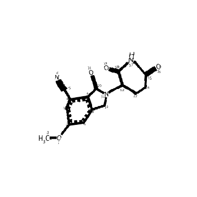 COc1cc(C#N)c2c(c1)CN(C1CCC(=O)NC1=O)C2=O